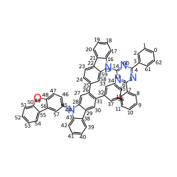 c1ccc(-c2nc(-c3ccccc3)nc(-n3c4ccccc4c4ccc(-c5cc6c(cc5-c5ccccc5)c5ccccc5n6-c5ccc6oc7ccccc7c6c5)cc43)n2)cc1